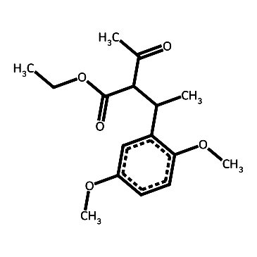 CCOC(=O)C(C(C)=O)C(C)c1cc(OC)ccc1OC